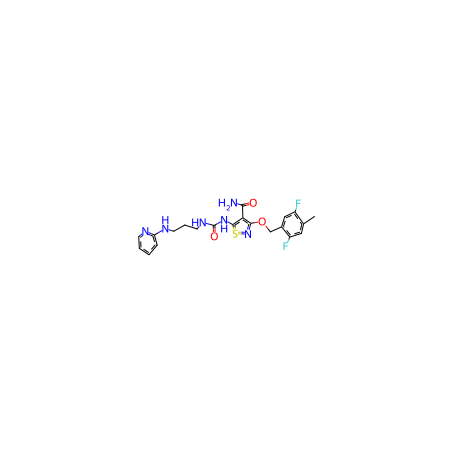 Cc1cc(F)c(COc2nsc(NC(=O)NCCCNc3ccccn3)c2C(N)=O)cc1F